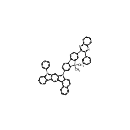 CC1(C)c2cc(-c3nc4ccccc4nc3-c3ccccc3)ccc2-c2ccc(-n3c4cc5c(cc4c4c6ccccc6ccc43)c3ccccc3n5-c3ccccc3)cc21